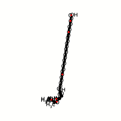 CCCN(CCCNC(=O)OC(C)(C)C)C(=O)C1=Cc2ccc(-c3cccc(S(=O)(=O)N4CC(CNC(=O)CCOCCOCCOCCOCCOCCOCCOCCOCCOCCOCCOCCOCCOCCOCCOCCOCCOCCOCCOCCOCCOCCOCCOCCOCCOCCC(=O)O)C4)c3)cc2N=C(N)C1